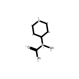 CC(C)C(=O)N(S)C1CCSCC1